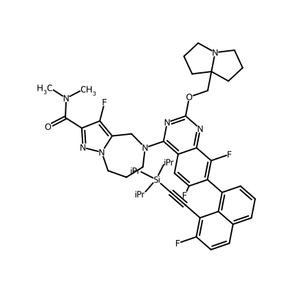 CC(C)[Si](C#Cc1c(F)ccc2cccc(-c3c(F)cc4c(N5CCCn6nc(C(=O)N(C)C)c(F)c6C5)nc(OCC56CCCN5CCC6)nc4c3F)c12)(C(C)C)C(C)C